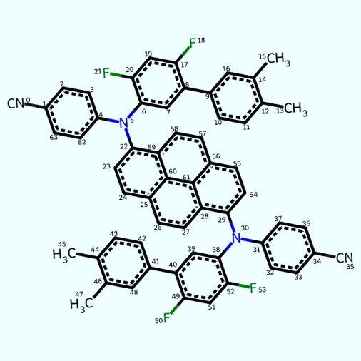 [C-]#[N+]c1ccc(N(c2cc(-c3ccc(C)c(C)c3)c(F)cc2F)c2ccc3ccc4c(N(c5ccc(C#N)cc5)c5cc(-c6ccc(C)c(C)c6)c(F)cc5F)ccc5ccc2c3c54)cc1